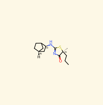 CCC[C@]1(C)SC(N[C@H]2C[C@@H]3CCC2C3)=NC1=O